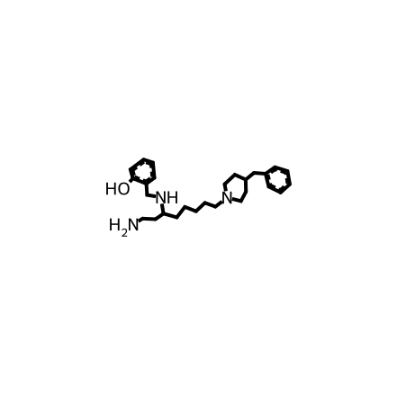 NCCC(CCCCCN1CCC(Cc2ccccc2)CC1)NCc1ccccc1O